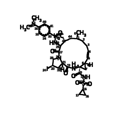 C[C@H]1CC/C=C\[C@@H]2C[C@@]2(C(=O)NS(=O)(=O)C2CC2)NC(=O)[C@@H]2C[C@@H](I)CN2C(=O)[C@@H](NC(=O)c2ccc(N(C)C)cc2)[C@H](C)C1